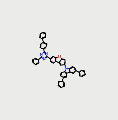 c1ccc(-c2ccc(-c3nc(-c4ccccc4)nc(-c4ccc5c(c4)oc4ccc(-n6c7ccc(-c8ccccc8)cc7c7cc(-c8ccccc8)ccc76)cc45)n3)cc2)cc1